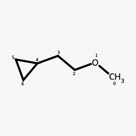 COCC[C]1CC1